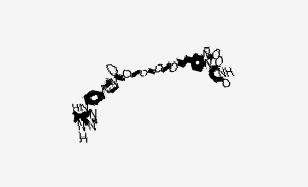 Cc1c[nH]c2ncnc(N[C@H]3CC[C@H](N4CCN(C(=O)COCCOCCOCCOCCCc5ccc6c(c5)n(C)c(=O)n6C5CCC(=O)NC5=O)CC4)CC3)c12